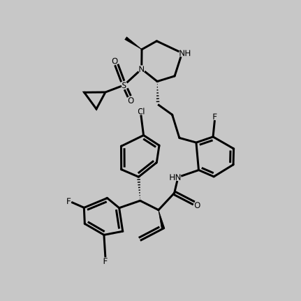 C=C[C@H](C(=O)Nc1cccc(F)c1CCC[C@H]1CNC[C@H](C)N1S(=O)(=O)C1CC1)[C@@H](c1ccc(Cl)cc1)c1cc(F)cc(F)c1